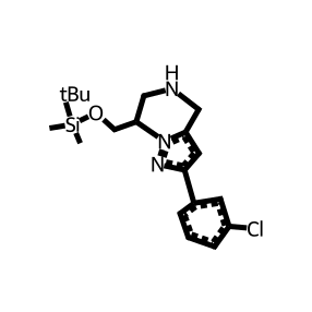 CC(C)(C)[Si](C)(C)OCC1CNCc2cc(-c3cccc(Cl)c3)nn21